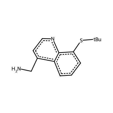 CC(C)(C)Sc1cccc2c(CN)ccnc12